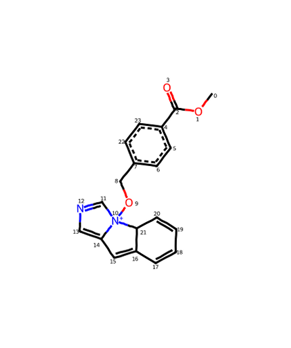 COC(=O)c1ccc(CO[N+]23C=NC=C2C=C2C=CC=CC23)cc1